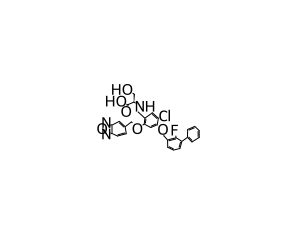 O=C(O)[C@@H](CO)NCc1cc(Cl)c(OCc2cccc(-c3ccccc3)c2F)cc1OCc1ccc2nonc2c1